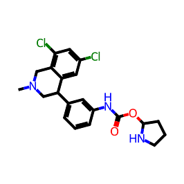 CN1Cc2c(Cl)cc(Cl)cc2C(c2cccc(NC(=O)OC3CCCN3)c2)C1